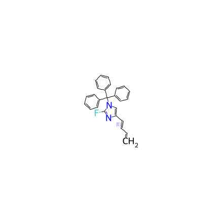 C=C/C=C/c1cn(C(c2ccccc2)(c2ccccc2)c2ccccc2)c(F)n1